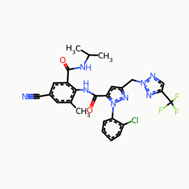 Cc1cc(C#N)cc(C(=O)NC(C)C)c1NC(=O)c1cc(Cn2ncc(C(F)(F)F)n2)nn1-c1ccccc1Cl